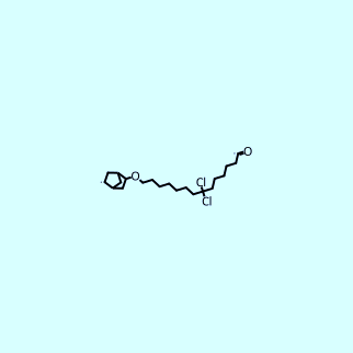 O=[C]CCCCCC(Cl)(Cl)CCCCCCCOC1CC2[CH]CC1C2